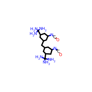 NC(N)(N)C1CC(CC2CC(N=C=O)CC(C(N)(N)N)C2)CC(N=C=O)C1